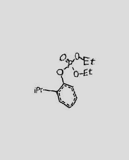 CCOP(=O)(OCC)Oc1ccccc1C(C)C